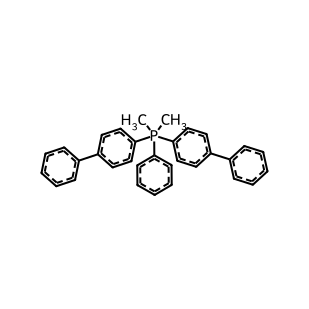 CP(C)(c1ccccc1)(c1ccc(-c2ccccc2)cc1)c1ccc(-c2ccccc2)cc1